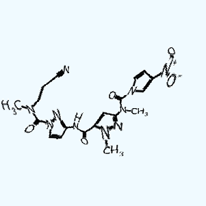 CN(CCC#N)C(=O)n1ccc(NC(=O)c2cc(N(C)C(=O)n3ccc([N+](=O)[O-])c3)nn2C)n1